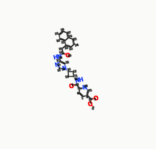 COC(=O)c1ccc(C(=O)N[C@H]2C[C@@H](n3cnc(NC(=O)Cc4cccc5ccccc45)c3)C2)nc1